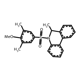 COc1c(C)cc(S(=O)(=O)N2c3ccccc3-c3ccccc3C2C)cc1C